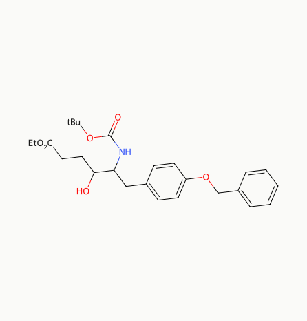 CCOC(=O)CCC(O)C(Cc1ccc(OCc2ccccc2)cc1)NC(=O)OC(C)(C)C